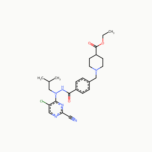 CCOC(=O)C1CCN(Cc2ccc(C(=O)NN(CC(C)C)c3nc(C#N)ncc3Cl)cc2)CC1